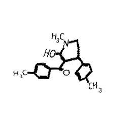 Cc1ccc(C(=O)C2C(c3ccc(C)cc3)CCN(C)C2O)cc1